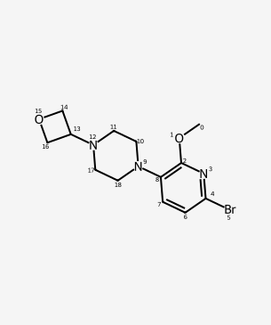 COc1nc(Br)ccc1N1CCN(C2COC2)CC1